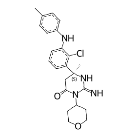 Cc1ccc(Nc2cccc([C@]3(C)CC(=O)N(C4CCOCC4)C(=N)N3)c2Cl)cc1